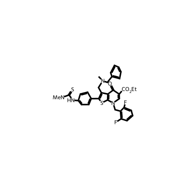 CCOC(=O)c1cn(Cc2c(F)cccc2F)c2sc(-c3ccc(NC(=S)NC)cc3)c(CN(C)Cc3ccccc3)c2c1=O